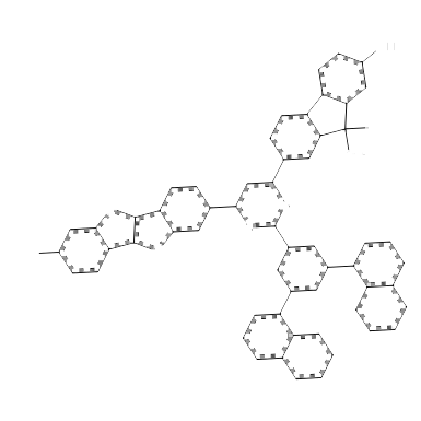 CCCCCCCCC1(CCCCCCCC)c2cc(C)ccc2-c2ccc(-c3cc(-c4ccc5c(c4)sc4c6ccc(C)cc6sc54)nc(-c4cc(-c5cccc6ccccc56)cc(-c5cccc6ccccc56)c4)n3)cc21